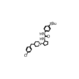 CC(C)(C)c1ccc(NC(=O)NC2CCCC2N2CCC(Cc3ccc(Cl)cc3)CC2)cc1